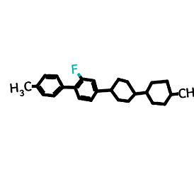 Cc1ccc(-c2ccc(C3CCC(C4CCC(C)CC4)CC3)cc2F)cc1